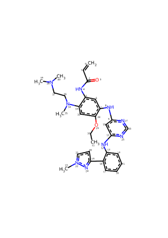 C=CC(=O)Nc1cc(Nc2cc(Nc3ccccc3-c3ccn(C)n3)ncn2)c(OCC)cc1N(C)CCN(C)C